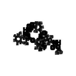 Cc1cccc(C)c1-c1nc2nc(c1C)OC[C@@H](CC1(C(F)(F)F)CC1)N(C1CC3(CC(NC(=O)OC(C)C)C3)C1)C(=O)c1cccc(c1)S(=O)(=O)N2